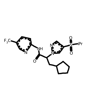 CC(C)S(=O)(=O)c1cnn(C(CC2CCCC2)C(=O)Nc2ccc(C(F)(F)F)cn2)c1